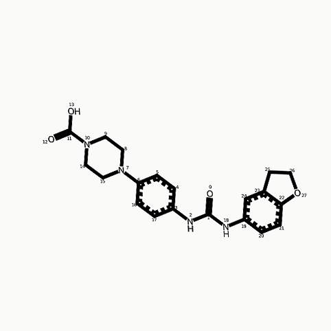 O=C(Nc1ccc(N2CCN(C(=O)O)CC2)cc1)Nc1ccc2c(c1)CCO2